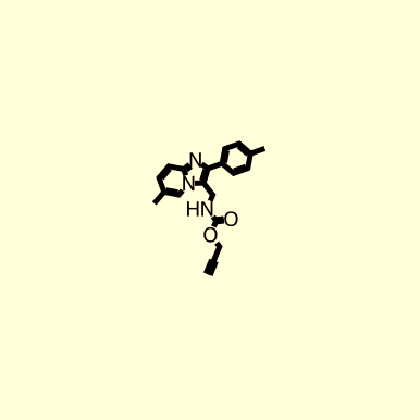 C#CCOC(=O)NCc1c(-c2ccc(C)cc2)nc2ccc(C)cn12